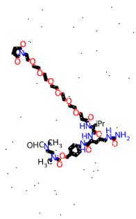 CC(C)C(NC(=O)CCOCCOCCOCCOCCOCCOCCN1C(=O)C=CC1=O)C(=O)NC(CCCNC(N)=O)C(=O)Nc1ccc(COC(=O)N(C)CCN(C)C=O)cc1